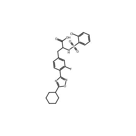 O=C(O)C(Cc1ccc(-c2noc(C3CCCCC3)n2)c(F)c1)NS(=O)(=O)c1ccccc1Cl